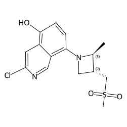 C[C@H]1[C@H](CS(C)(=O)=O)CN1c1ccc(O)c2cc(Cl)ncc12